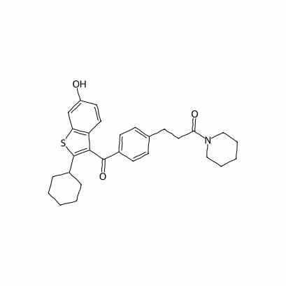 O=C(c1ccc(CCC(=O)N2CCCCC2)cc1)c1c(C2CCCCC2)sc2cc(O)ccc12